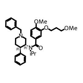 COCCCOc1cc(C(=O)N(C(C)C)[C@H]2CN(Cc3ccccc3)CC[C@@H]2c2ccccc2)ccc1OC